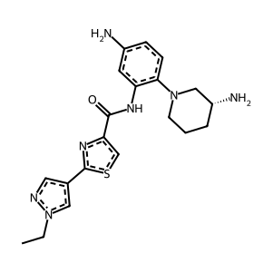 CCn1cc(-c2nc(C(=O)Nc3cc(N)ccc3N3CCC[C@@H](N)C3)cs2)cn1